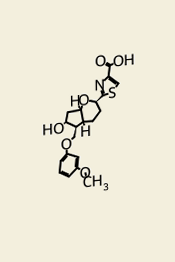 COc1cccc(OC[C@@H]2[C@H]3CC[C@H](c4nc(C(=O)O)cs4)O[C@H]3C[C@H]2O)c1